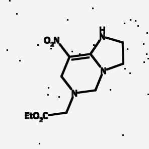 CCOC(=O)CN1CC([N+](=O)[O-])=C2NCCN2C1